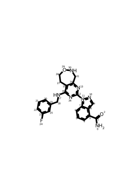 NC(=O)c1cccc2c1cnn2-c1nc2c(c(NCc3cccc(F)c3)n1)CCONC2